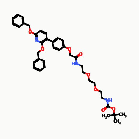 CC(C)(C)OC(=O)NCCOCCOCCNC(=O)COc1ccc(-c2ccc(OCc3ccccc3)nc2OCc2ccccc2)cc1